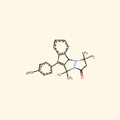 COc1ccc(C2=C3C(c4ccccc42)N2N(C(=O)CC2(C)C)C3(C)C)cc1